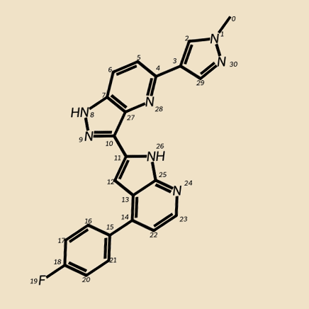 Cn1cc(-c2ccc3[nH]nc(-c4cc5c(-c6ccc(F)cc6)ccnc5[nH]4)c3n2)cn1